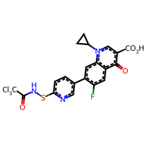 O=C(O)c1cn(C2CC2)c2cc(-c3ccc(SNC(=O)C(Cl)(Cl)Cl)nc3)c(F)cc2c1=O